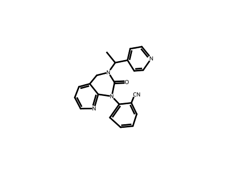 CC(c1ccncc1)N1Cc2cccnc2N(c2ccccc2C#N)C1=O